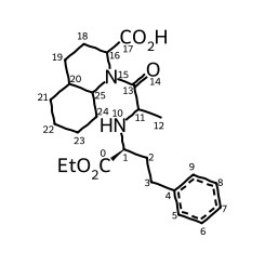 CCOC(=O)[C@H](CCc1ccccc1)NC(C)C(=O)N1C(C(=O)O)CCC2CCCCC21